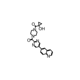 O=C(c1ncc(-c2ccc3ncccc3c2)cn1)N1CCN(C(=O)C2(O)CC2)CC1